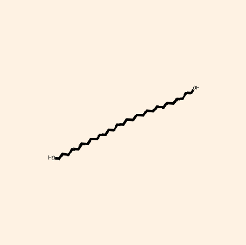 OCCCCCCCCCCCCCCCCCCCCCCCCCCCCCO